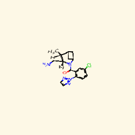 C[C@@H]1C2CC(C2)N(C(=O)c2cc(Cl)ccc2-n2nccn2)[C@@H]1CN